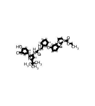 CCOC(=O)N1C=CN2c3cc(Oc4ccccc4CNC(=O)Nc4cc(C(C)(C)C)nn4-c4ccc(O)c(Cl)c4)ccc3SC12